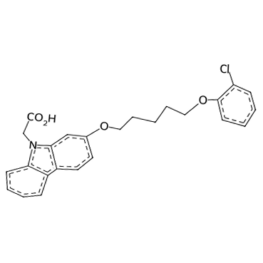 O=C(O)Cn1c2ccccc2c2ccc(OCCCCCOc3ccccc3Cl)cc21